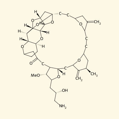 C=C1CC2CC[C@@]34C[C@H]5O[C@H]6[C@@H](O3)[C@H]3OC(CC[C@@H]3O[C@H]6[C@H]5O4)CC(=O)CC3[C@@H](OC)C(C[C@H](O)CN)O[C@H]3CC3OC(CCC1O2)C[C@@H](C)C3=C